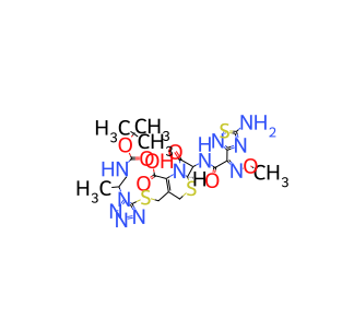 CO/N=C(/C(=O)NC1C(=O)N2C(C(=O)O)=C(CSc3nnnn3C(C)CNC(=O)OC(C)(C)C)CS[C@H]12)c1nsc(N)n1